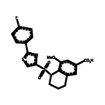 COc1cc(C(=O)O)cc2c1N(S(=O)(=O)c1csc(-c3ccc(F)cc3)n1)CCC2